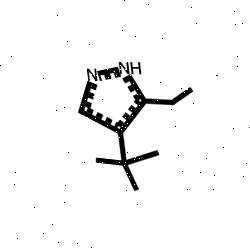 CCc1[nH]ncc1C(C)(C)C